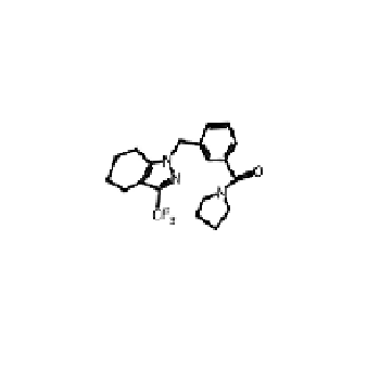 O=C(c1cccc(Cn2nc(C(F)(F)F)c3c2CCCC3)c1)N1CCCC1